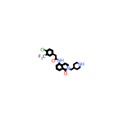 O=C(Cc1ccc(Cl)c(C(F)(F)F)c1)Nc1cccc2c(=O)n(CC3CCNCC3)ccc12